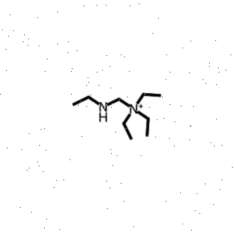 CCNC[N+](CC)(CC)CC